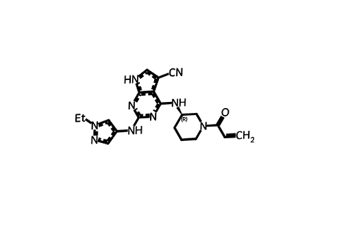 C=CC(=O)N1CCC[C@@H](Nc2nc(Nc3cnn(CC)c3)nc3[nH]cc(C#N)c23)C1